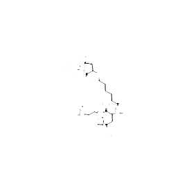 CN(C)CCNC(=O)C(CC(=O)C(C)(C)C)N(C)C(=O)CCCCCSC1CC(=O)N(C(C)(C)C)C1=O